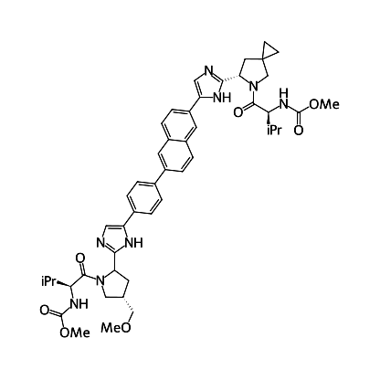 COC[C@H]1CC(c2ncc(-c3ccc(-c4ccc5cc(-c6cnc([C@@H]7CC8(CC8)CN7C(=O)[C@@H](NC(=O)OC)C(C)C)[nH]6)ccc5c4)cc3)[nH]2)N(C(=O)[C@@H](NC(=O)OC)C(C)C)C1